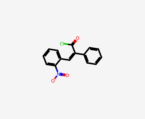 O=C(Cl)/C(=C\c1ccccc1[N+](=O)[O-])c1ccccc1